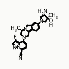 C[C@@H]1CN(c2ccc(C#N)n3ncc(F)c23)CC2=C3CC=C(N4C[C@H](N)[C@@](C)(O)C4)C=C3CN21